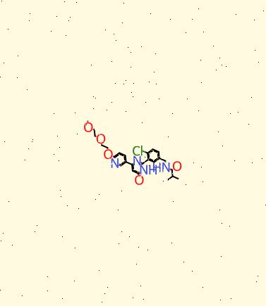 COCCOCCOc1ccc(-c2cc(=O)[nH]c(-c3cc(CNC(=O)C(C)C)ccc3Cl)n2)cn1